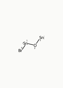 [Br][Sn][O][Sn]